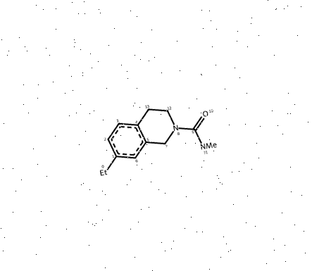 CCc1ccc2c(c1)CN(C(=O)NC)CC2